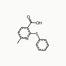 Cc1ccc(C(=O)O)c(Sc2ccccc2)n1